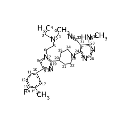 CCN(CC)CCn1cc(-c2ccc(F)c(C)c2)nc1C1CCN(c2ncnc(NC)c2C#N)CC1